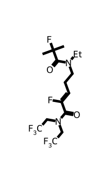 CCN(CC/C=C(\F)C(=O)N(CC(F)(F)F)CC(F)(F)F)C(=O)C(C)(C)F